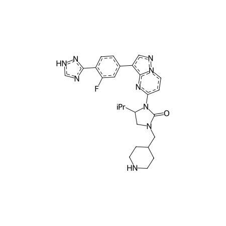 CC(C)C1CN(CC2CCNCC2)C(=O)N1c1ccn2ncc(-c3ccc(-c4nc[nH]n4)c(F)c3)c2n1